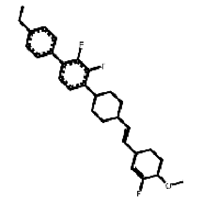 CCc1ccc(-c2ccc(C3CCC(/C=C/C4C=C(F)C(OC)CC4)CC3)c(F)c2F)cc1